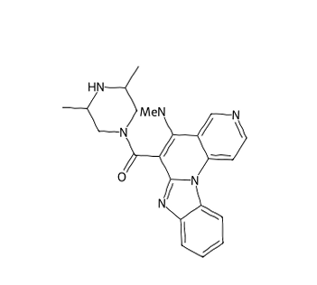 CNc1c(C(=O)N2CC(C)NC(C)C2)c2nc3ccccc3n2c2ccncc12